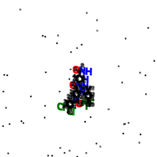 CNC(=O)[C@H]1CC[C@@H](n2c(N[C@@H](C)c3ccc(C(F)(F)F)cc3)nc3c(c2=O)C[C@@H](C)N(C(=O)c2ccc(Cl)c(Cl)c2)C3)CC1